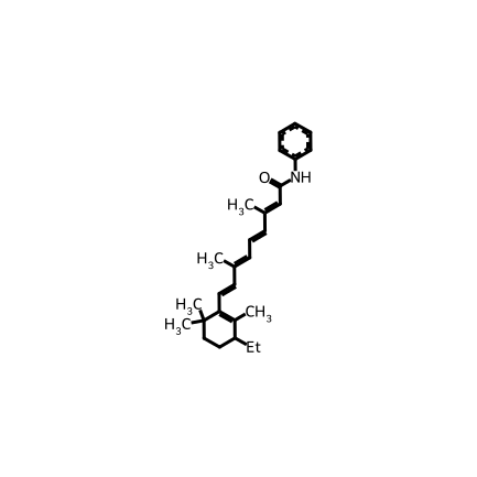 CCC1CCC(C)(C)C(/C=C/C(C)=C/C=C/C(C)=C/C(=O)Nc2ccccc2)=C1C